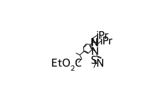 CCOC(=O)CC(C)c1ccc(N(CC(C)C)CC(C)C)c(Nc2cnc(C)s2)c1